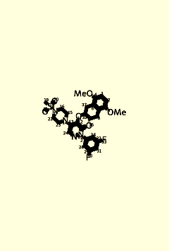 COc1ccc(OC)c2c1CCC(Oc1c(N3CCN(S(C)(=O)=O)CC3)cnn(-c3cc(F)cc(F)c3)c1=O)C2